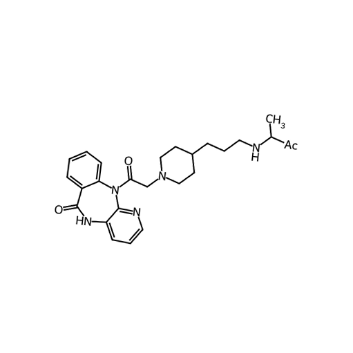 CC(=O)C(C)NCCCC1CCN(CC(=O)N2c3ccccc3C(=O)Nc3cccnc32)CC1